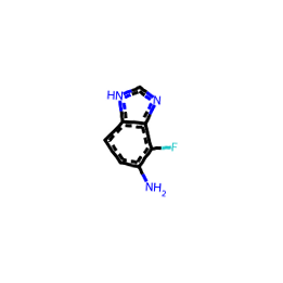 Nc1ccc2[nH]cnc2c1F